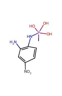 CP(O)(O)(O)Nc1ccc([N+](=O)[O-])cc1N